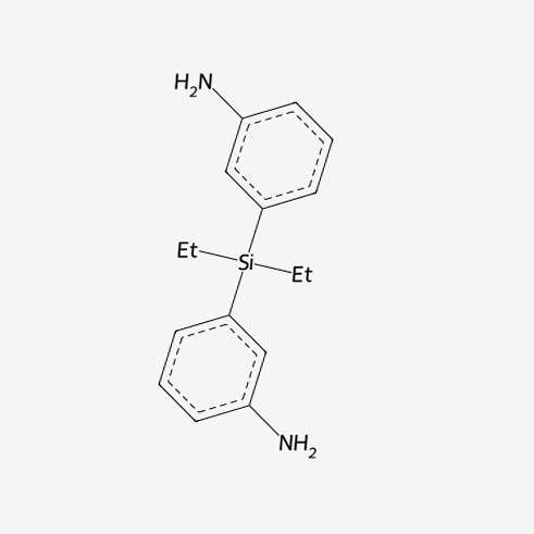 CC[Si](CC)(c1cccc(N)c1)c1cccc(N)c1